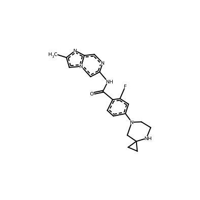 Cc1cn2cc(NC(=O)c3ccc(N4CCNC5(CC5)C4)cc3F)ncc2n1